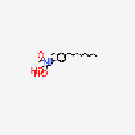 CCCCCCCCc1ccc2c(c1)CCC2CC(CO)(CO)NC(C)=O